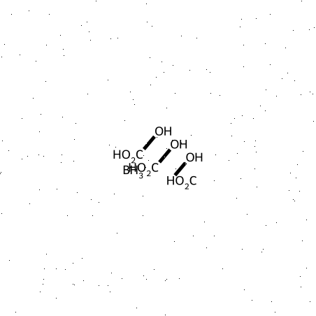 B.O=C(O)O.O=C(O)O.O=C(O)O